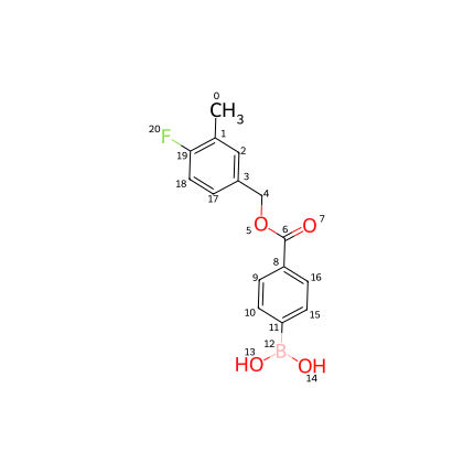 Cc1cc(COC(=O)c2ccc(B(O)O)cc2)ccc1F